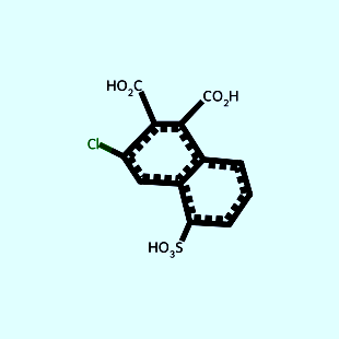 O=C(O)c1c(Cl)cc2c(S(=O)(=O)O)cccc2c1C(=O)O